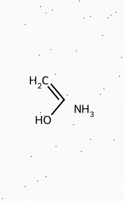 C=CO.N